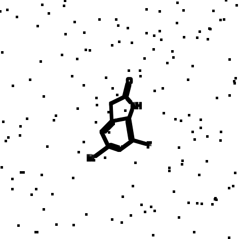 CCc1cc(F)c2c(c1)CC(=O)N2